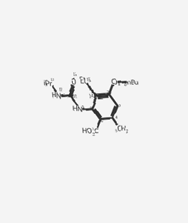 CCCCOc1cc(C)c(C(=O)O)c(NC(=O)NC(C)C)c1CC